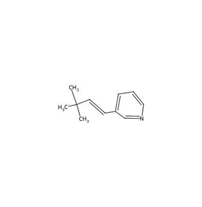 CC(C)(C)C=Cc1cccnc1